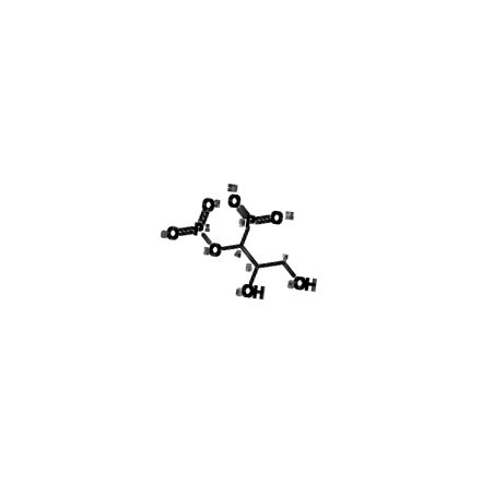 O=P(=O)OC(C(O)CO)P(=O)=O